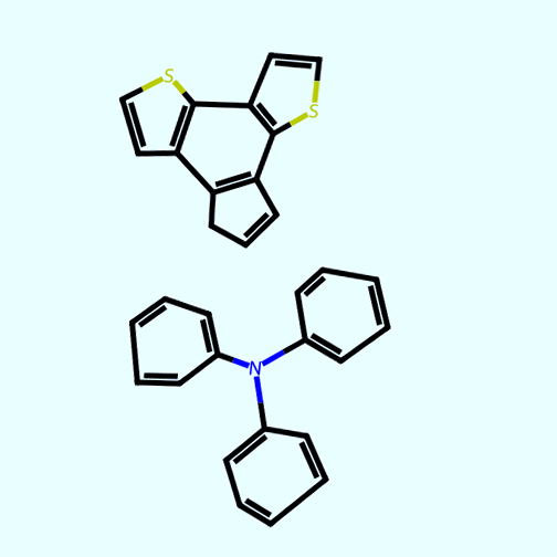 C1=Cc2c(c3ccsc3c3ccsc23)C1.c1ccc(N(c2ccccc2)c2ccccc2)cc1